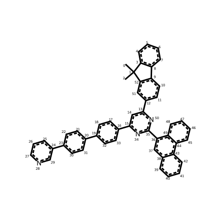 CC1(C)c2ccccc2-c2ccc(-c3cc(-c4ccc(-c5ccc(-c6cccnc6)cc5)cc4)nc(-c4cc5ccccc5c5ccccc45)n3)cc21